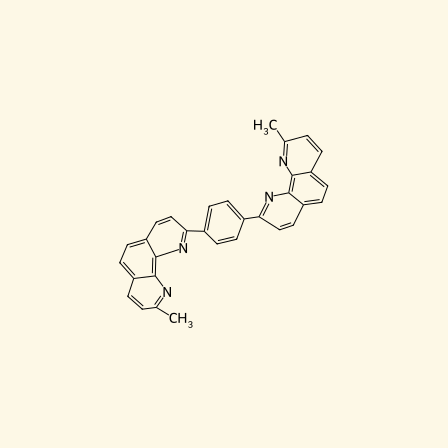 Cc1ccc2ccc3ccc(-c4ccc(-c5ccc6ccc7ccc(C)nc7c6n5)cc4)nc3c2n1